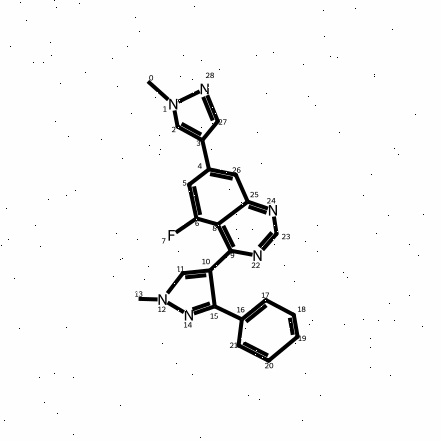 Cn1cc(-c2cc(F)c3c(-c4cn(C)nc4-c4ccccc4)ncnc3c2)cn1